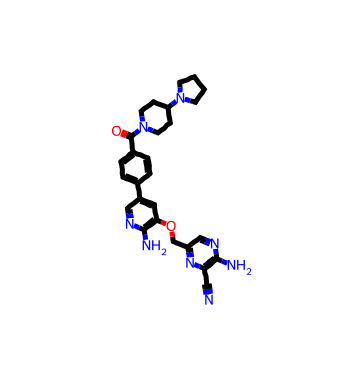 N#Cc1nc(COc2cc(-c3ccc(C(=O)N4CCC(N5CCCC5)CC4)cc3)cnc2N)cnc1N